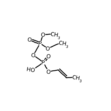 CC=COP(=O)(O)OP(=O)(OC)OC